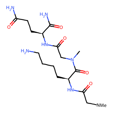 CNCC(=O)N[C@@H](CCCCN)C(=O)N(C)CC(=O)N[C@@H](CCC(N)=O)C(N)=O